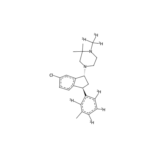 [2H]c1c([2H])c(C)c([2H])c([C@@H]2C[C@@H](N3CCN(C([2H])([2H])[2H])C(C)(C)C3)c3cc(Cl)ccc32)c1[2H]